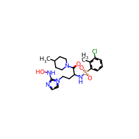 Cc1c(Cl)cccc1S(=O)(=O)NC(CCn1ccnc1NO)C(=O)N1CCC(C)CC1